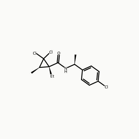 CC[C@@]1(C(=O)N[C@@H](C)c2ccc(Cl)cc2)[C@@H](C)C1(Cl)Cl